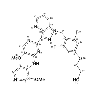 COc1cnccc1Nc1nc(-c2nn(Cc3c(F)cc(OCCO)cc3F)c3cccnc23)ncc1OC